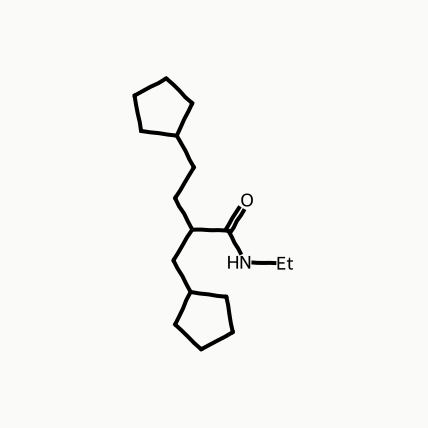 CCNC(=O)C(CCC1CCCC1)CC1CCCC1